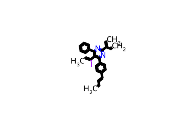 C=C/C=C/c1ccc(-c2nc(/C(C=C)=C/C)nc(-c3ccccc3)c2/C(I)=C/C)cc1